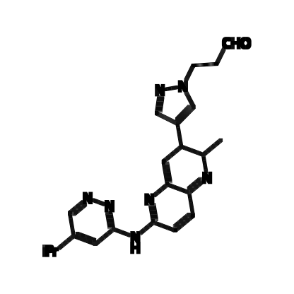 CC(C)c1cnnc(Nc2ccc3c(n2)=CC(c2cnn(CCC=O)c2)C(C)N=3)c1